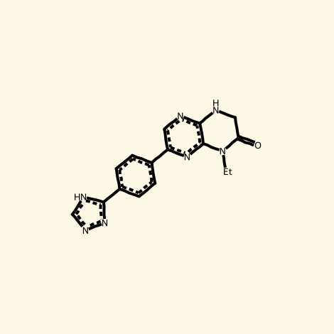 CCN1C(=O)CNc2ncc(-c3ccc(-c4nnc[nH]4)cc3)nc21